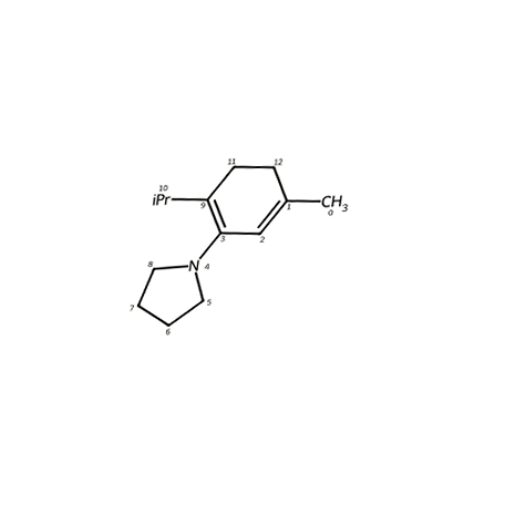 CC1=CC(N2CCCC2)=C(C(C)C)CC1